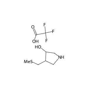 CSCC1CNCC1O.O=C(O)C(F)(F)F